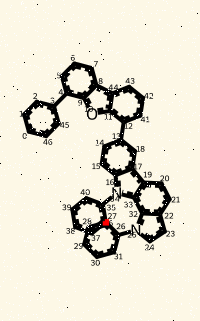 c1ccc(-c2cccc3c2oc2c(-c4ccc5c(c4)c4ccc6ccn(-c7ccccc7)c6c4n5-c4ccccc4)cccc23)cc1